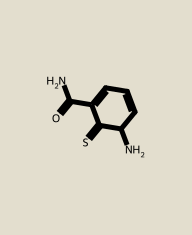 NC(=O)C1=CC=CC(N)C1=S